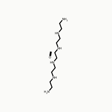 C=O.NCCNCCNCCNCCNCCN